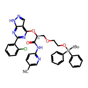 CC(C)(C)[Si](OCCOC[C@H](Oc1nc(-c2ccccc2Cl)nc2[nH]ncc12)C(=O)Nc1ccc(C#N)cn1)(c1ccccc1)c1ccccc1